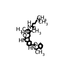 Cc1[nH]c(C=C2C(=O)Nc3ccc(C(=O)N[C@H](C)c4ccccc4)cc32)c(C)c1NC(=O)/C=C/CN(C)C